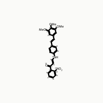 COc1cc(C=Cc2ccc(NC=CC(=O)c3ccccc3[N+](=O)[O-])cc2)cc(OC)c1OC